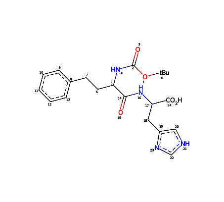 CC(C)(C)OC(=O)NC(CCc1ccccc1)C(=O)NC(Cc1c[nH]cn1)C(=O)O